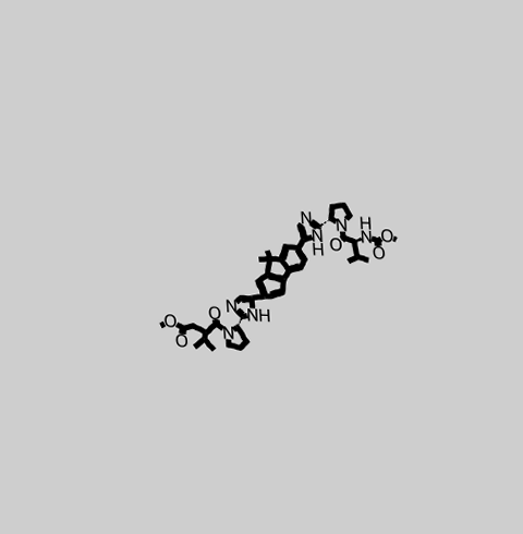 COC(=O)CC(C(=O)N1CCC[C@H]1c1ncc(-c2ccc3c(c2)C(C)(C)c2cc(-c4cnc([C@@H]5CCCN5C(=O)[C@@H](NC(=O)OC)C(C)C)[nH]4)ccc2-3)[nH]1)C(C)C